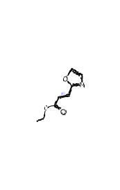 CCOC(=O)/C=C/c1ncco1